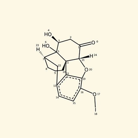 O=C1C[C@H](O)C2(O)[C@@H]3CCC[C@@]24c2c(ccc(OI)c2O[C@@H]14)C3